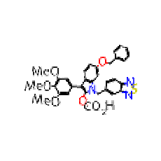 COc1cc(-c2c(OC(=O)O)n(Cc3ccc4nsnc4c3)c3cc(OCc4ccccc4)ccc23)cc(OC)c1OC